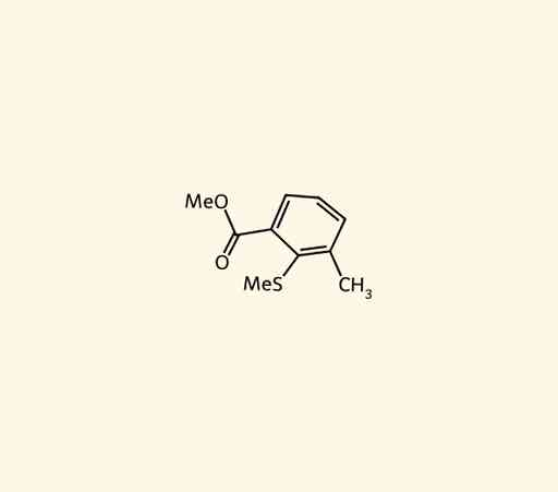 COC(=O)c1cccc(C)c1SC